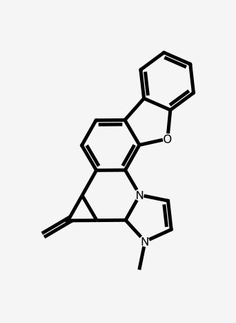 C=C1C2c3ccc4c(oc5ccccc54)c3N3C=CN(C)C3C12